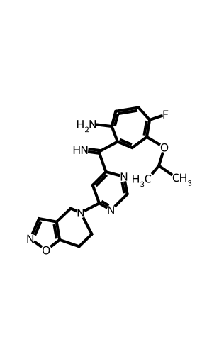 CC(C)OC1=C(F)C=C=C(N)C(C(=N)c2cc(N3CCc4oncc4C3)ncn2)=C1